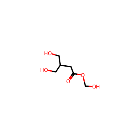 O=C(CC(CO)CO)OCO